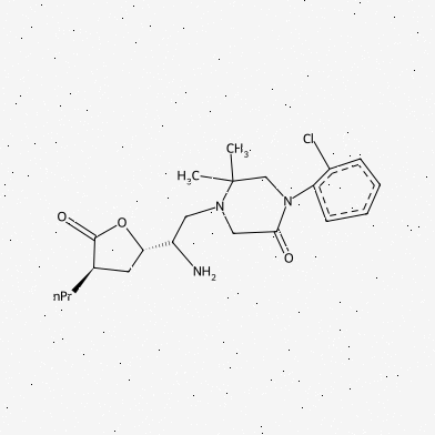 CCC[C@@H]1C[C@@H](C(N)CN2CC(=O)N(c3ccccc3Cl)CC2(C)C)OC1=O